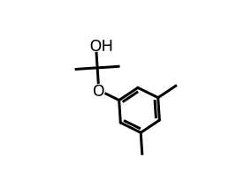 Cc1cc(C)cc(OC(C)(C)O)c1